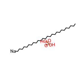 CCCCCCCCCCCCCCCCCCCCCCCCC[CH2][Na].O=S(=O)(O)O